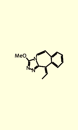 CC=C1c2ccccc2C=Cn2c(OC)nnc21